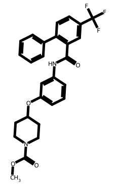 COC(=O)N1CCC(Oc2cccc(NC(=O)c3cc(C(F)(F)F)ccc3-c3ccccc3)c2)CC1